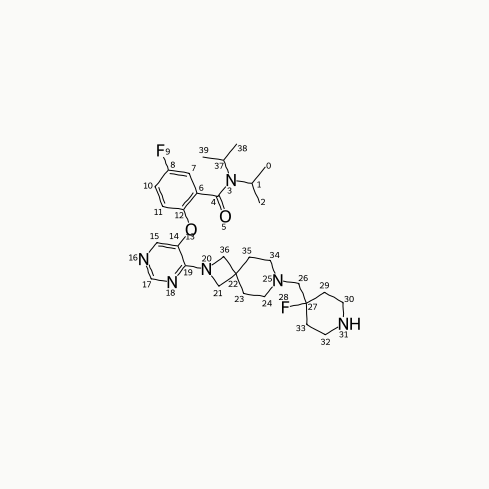 CC(C)N(C(=O)c1cc(F)ccc1Oc1cncnc1N1CC2(CCN(CC3(F)CCNCC3)CC2)C1)C(C)C